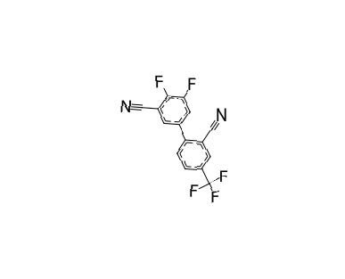 N#Cc1cc(C(F)(F)F)ccc1-c1cc(F)c(F)c(C#N)c1